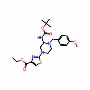 CCOC(=O)c1csc(N2CCN(Cc3ccc(OC)cc3)C(NC(=O)OC(C)(C)C)C2)n1